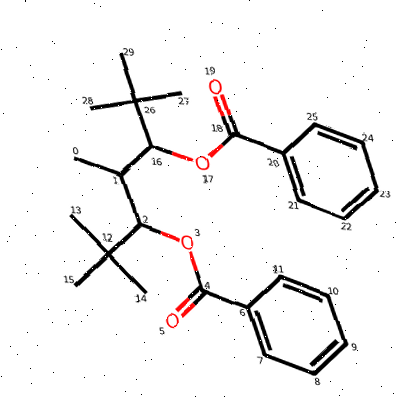 CC(C(OC(=O)c1ccccc1)C(C)(C)C)C(OC(=O)c1ccccc1)C(C)(C)C